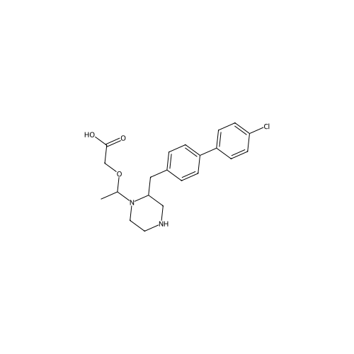 CC(OCC(=O)O)N1CCNCC1Cc1ccc(-c2ccc(Cl)cc2)cc1